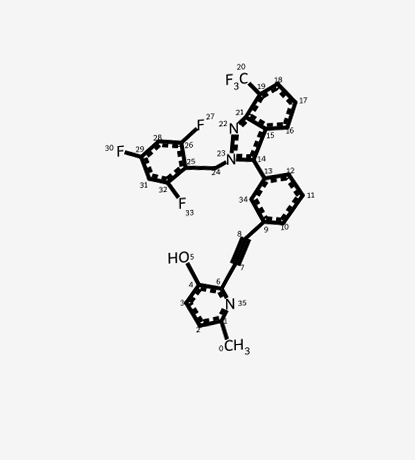 Cc1ccc(O)c(C#Cc2cccc(-c3c4cccc(C(F)(F)F)c4nn3Cc3c(F)cc(F)cc3F)c2)n1